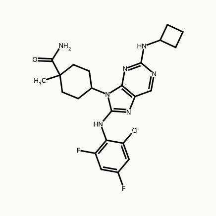 CC1(C(N)=O)CCC(n2c(Nc3c(F)cc(F)cc3Cl)nc3cnc(NC4CCC4)nc32)CC1